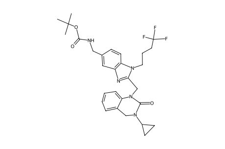 CC(C)(C)OC(=O)NCc1ccc2c(c1)nc(CN1C(=O)N(C3CC3)Cc3ccccc31)n2CCCC(F)(F)F